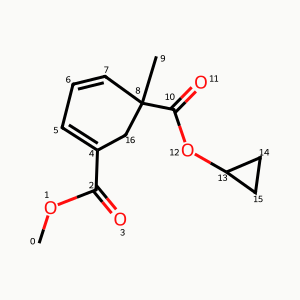 COC(=O)C1=CC=CC(C)(C(=O)OC2CC2)C1